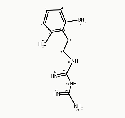 Bc1cccc(B)c1CCNC(=N)NC(=N)N